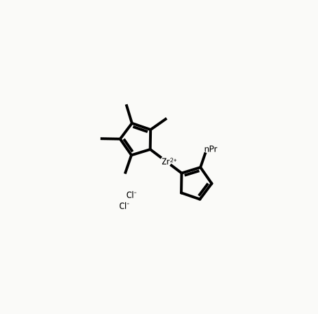 CCCC1=[C]([Zr+2][CH]2C(C)=C(C)C(C)=C2C)CC=C1.[Cl-].[Cl-]